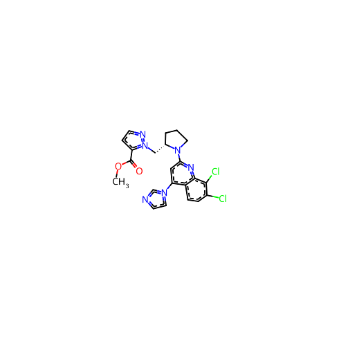 COC(=O)c1ccnn1C[C@@H]1CCCN1c1cc(-n2ccnc2)c2ccc(Cl)c(Cl)c2n1